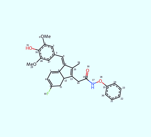 COc1cc(/C=C2\C3=CC=C(F)CC3C(CC(=O)NOc3ccccc3)=C2C)cc(OC)c1O